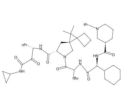 CCC[C@H](NC(=O)[C@@H]1C[C@@]2(CN1C(=O)C(NC(=O)[C@@H](NC(=O)[C@@H]1CCCN(C(C)C)C1)C1CCCCC1)C(C)(C)C)C(C)(C)C21CCC1)C(=O)C(=O)NC1CC1